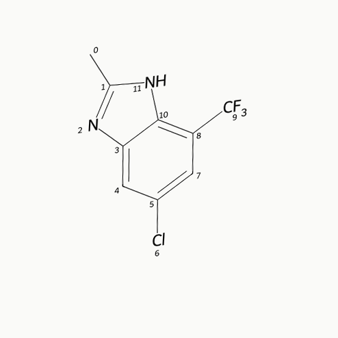 Cc1nc2cc(Cl)cc(C(F)(F)F)c2[nH]1